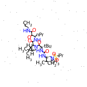 C=CCNC(=O)C(=O)C(CCC)NC(=O)[C@@H]1[C@@H]2[C@H](CN1C(=O)[C@@H](NC(=O)N[C@H](CN(C)S(=O)(=O)C(C)C)C(=C)C)C(C)(C)C)C2(C)C